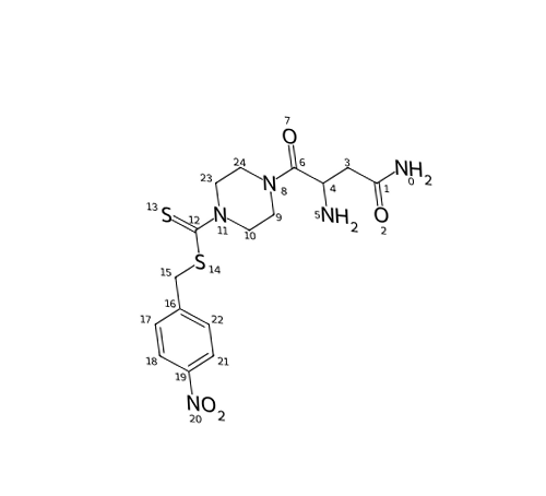 NC(=O)CC(N)C(=O)N1CCN(C(=S)SCc2ccc([N+](=O)[O-])cc2)CC1